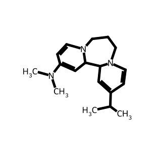 CC(C)C1=CC2C3C=C(N(C)C)C=CN3CCCN2C=C1